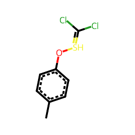 Cc1ccc(O[SH]=C(Cl)Cl)cc1